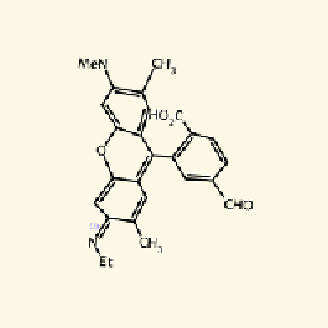 CC/N=c1/cc2oc3cc(NC)c(C)cc3c(-c3cc(C=O)ccc3C(=O)O)c-2cc1C